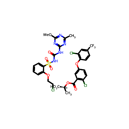 COc1nc(C)nc(NC(=O)NS(=O)(=O)c2ccccc2OCCCl)n1.C[C@H](OC(=O)c1cc(Oc2ccc(C(F)(F)F)cc2Cl)ccc1Cl)C(=O)O